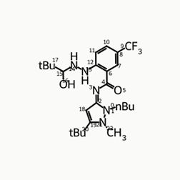 CCCCn1c(=NC(=O)c2cc(C(F)(F)F)ccc2NNC(O)C(C)(C)C)cc(C(C)(C)C)n1C